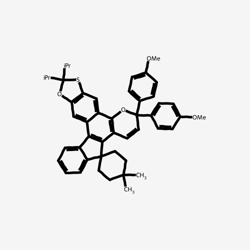 COc1ccc(C2(c3ccc(OC)cc3)C=Cc3c4c(c5cc6c(cc5c3O2)SC(C(C)C)(C(C)C)O6)-c2ccccc2C42CCC(C)(C)CC2)cc1